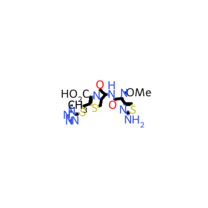 CON=C(C(=O)NC1C(=O)N2C(C(=O)O)=C(CSc3nnnn3C)SCC12)c1csc(N)n1